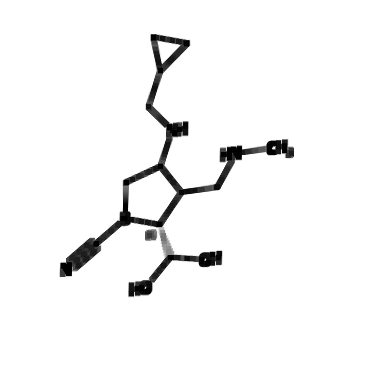 CNCC1C(NCC2CC2)CB(C#N)[C@H]1C(O)O